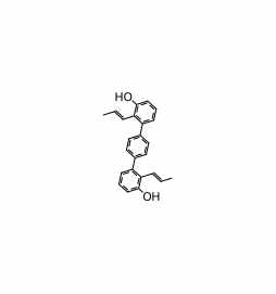 CC=Cc1c(O)cccc1-c1ccc(-c2cccc(O)c2C=CC)cc1